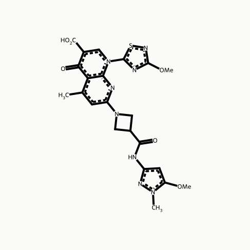 COc1nsc(-n2cc(C(=O)O)c(=O)c3c(C)cc(N4CC(C(=O)Nc5cc(OC)n(C)n5)C4)nc32)n1